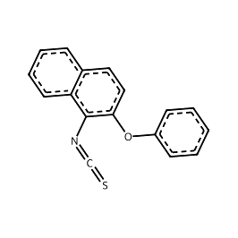 S=C=Nc1c(Oc2ccccc2)ccc2ccccc12